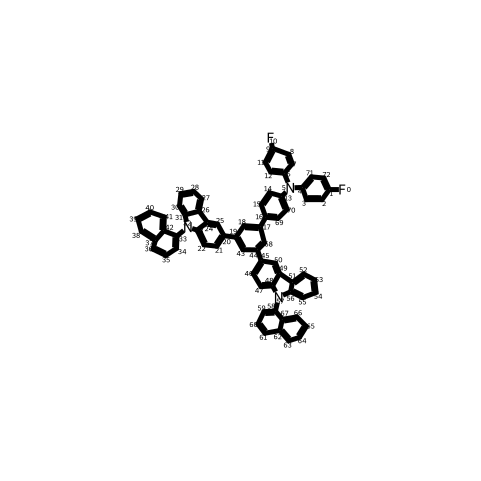 Fc1ccc(N(c2ccc(F)cc2)c2ccc(-c3cc(-c4ccc5c(c4)c4ccccc4n5-c4cccc5ccccc45)cc(-c4ccc5c(c4)c4ccccc4n5-c4cccc5ccccc45)c3)cc2)cc1